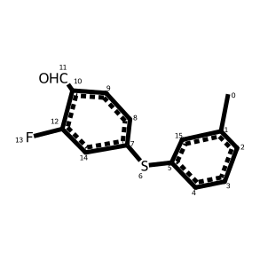 Cc1cccc(Sc2ccc(C=O)c(F)c2)c1